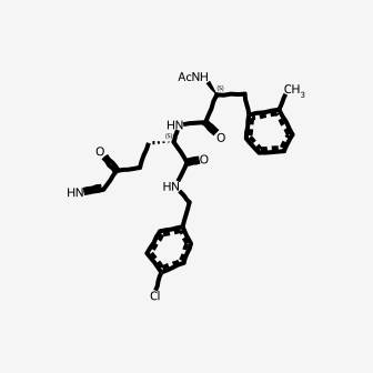 CC(=O)N[C@@H](Cc1ccccc1C)C(=O)N[C@@H](CCC(=O)C=N)C(=O)NCc1ccc(Cl)cc1